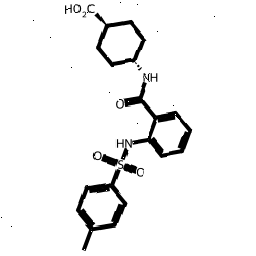 Cc1ccc(S(=O)(=O)Nc2ccccc2C(=O)N[C@H]2CC[C@H](C(=O)O)CC2)cc1